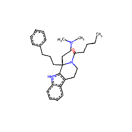 CCCCC(=O)N1CCc2c([nH]c3ccccc23)C1(CCCc1ccccc1)CCN(C)C